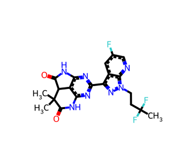 CC(F)(F)CCn1nc(-c2nc3c4c(n2)NC(=O)C(C)(C)C4C(=O)N3)c2cc(F)cnc21